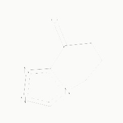 O=C1CCCn2cnnc21